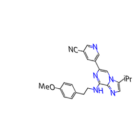 COc1ccc(CCNc2nc(-c3cncc(C#N)c3)cn3c(C(C)C)cnc23)cc1